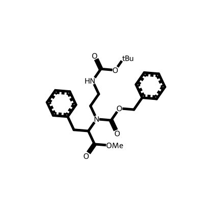 COC(=O)C(Cc1ccccc1)N(CCNC(=O)OC(C)(C)C)C(=O)OCc1ccccc1